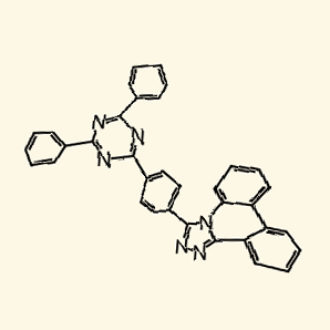 c1ccc(-c2nc(-c3ccccc3)nc(-c3ccc(-c4nnc5c6ccccc6c6ccccc6n45)cc3)n2)cc1